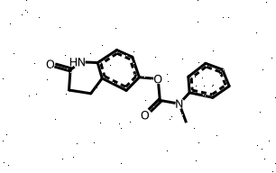 CN(C(=O)Oc1ccc2c(c1)CCC(=O)N2)c1ccccc1